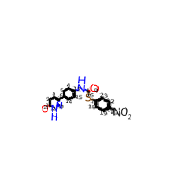 O=C(Nc1ccc(-c2ccc(=O)[nH]n2)cc1)Sc1ccc([N+](=O)[O-])cc1